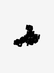 CC(C)(C)OC(=O)N1CCC2(CC1)CN(c1cc(Nc3cc(OC(F)(F)F)ccn3)nc(-c3cccnc3)n1)C2